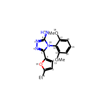 CCc1ccc(-c2nnc(N)n2-c2c(OC)cccc2OC)o1